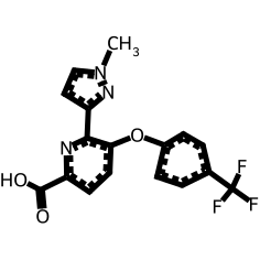 Cn1ccc(-c2nc(C(=O)O)ccc2Oc2ccc(C(F)(F)F)cc2)n1